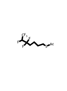 CC(=O)SCCCCC(F)(F)C(F)C(F)(F)F